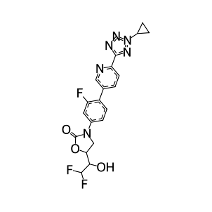 O=C1OC(C(O)C(F)F)CN1c1ccc(-c2ccc(-c3nnn(C4CC4)n3)nc2)c(F)c1